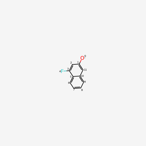 [O]c1cc(F)c2ccccc2c1